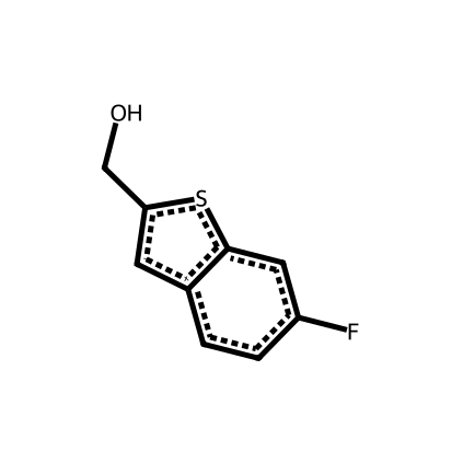 OCc1cc2ccc(F)cc2s1